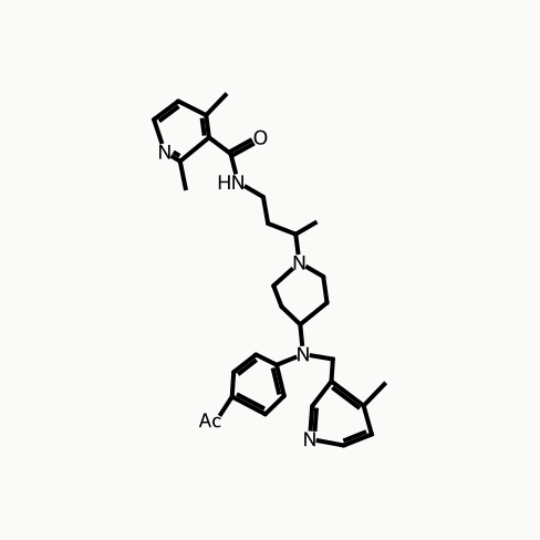 CC(=O)c1ccc(N(Cc2cnccc2C)C2CCN(C(C)CCNC(=O)c3c(C)ccnc3C)CC2)cc1